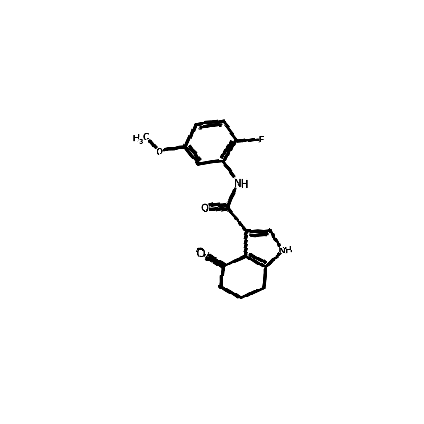 COc1ccc(F)c(NC(=O)c2c[nH]c3c2C(=O)CCC3)c1